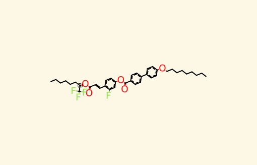 CCCCCCCCCOc1ccc(-c2ccc(C(=O)Oc3ccc(C=CC(=O)O[C@H](CCCCCC)C(F)(F)F)c(F)c3)cc2)cc1